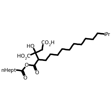 CCCCCCCC(=O)OC(=O)C(CCCCCCCCCCC(C)C)C(O)(CC(=O)O)C(=O)O